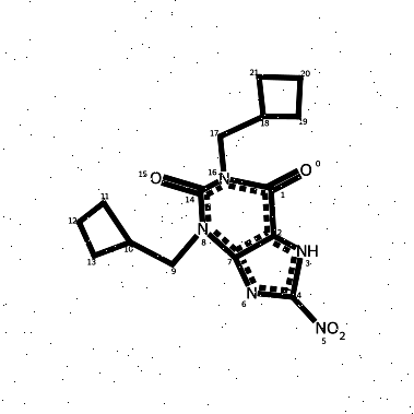 O=c1c2[nH]c([N+](=O)[O-])nc2n(CC2CCC2)c(=O)n1CC1CCC1